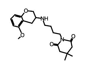 COc1cccc2c1CC(NCCCCN1C(=O)CC(C)(C)CC1=O)CO2